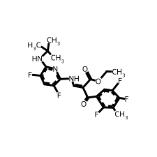 CCOC(=O)/C(=C\Nc1nc(NC(C)(C)C)c(F)cc1F)C(=O)c1cc(F)c(F)c(C)c1F